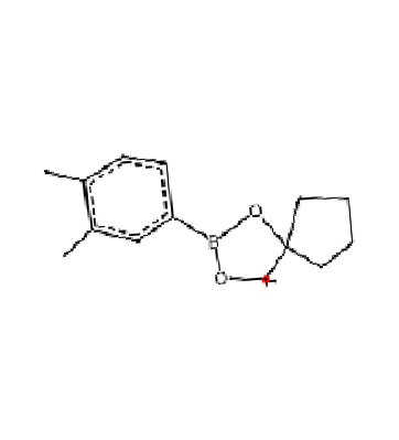 Cc1ccc(B2OC3(CCCC3)C3(CCCC3)O2)cc1C